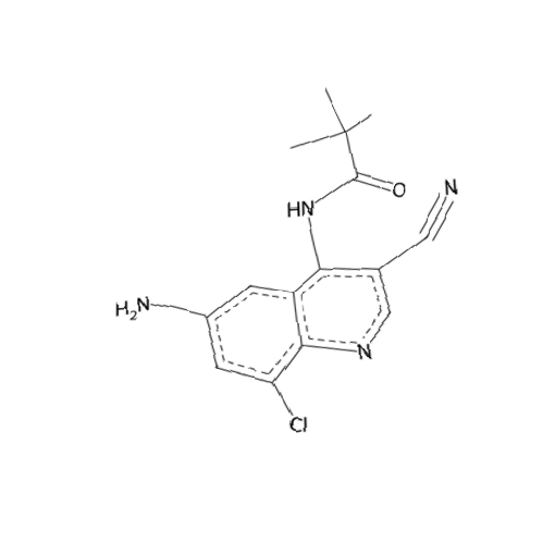 CC(C)(C)C(=O)Nc1c(C#N)cnc2c(Cl)cc(N)cc12